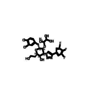 CC(O[C@@H]1[C@@H](n2cc(-c3cc(F)c(F)c(F)c3)nn2)[C@@H](O)[C@@H](CCO)O[C@@H]1Sc1ccc(Cl)c(Cl)c1)C(O)O